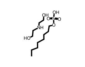 CCCCCCCCOS(=O)(=O)O.OCCNCCO